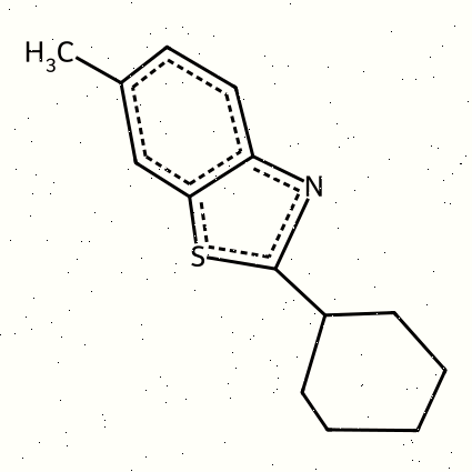 Cc1ccc2nc(C3CCCCC3)sc2c1